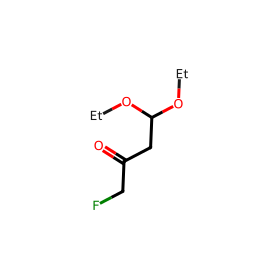 CCOC(CC(=O)CF)OCC